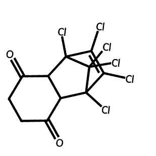 O=C1CCC(=O)C2C1C1(Cl)C(Cl)=C(Cl)C2(Cl)C1(Cl)Cl